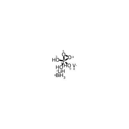 OP1(O)(O)OO1.[BiH3].[LiH].[V]